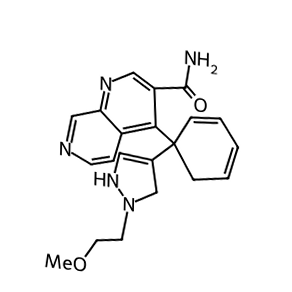 COCCN1CC(C2(c3c(C(N)=O)cnc4cnccc34)C=CC=CC2)=CN1